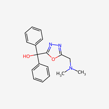 CN(C)Cc1nnc(C(O)(c2ccccc2)c2ccccc2)o1